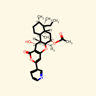 CC[C@@]1(C)[C@@H]2C[C@H](OC(C)=O)[C@@]3(C)Oc4cc(-c5cccnc5)oc(=O)c4[C@H](O)[C@@H]3[C@@]2(C)CC[C@@H]1C